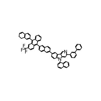 FC(F)(F)c1ccc2c(-c3ccc4cc(-c5ccc6c(c5)c5cnc(-c7cccc(-c8ccccc8)c7)cc5n6-c5cccc6ccccc56)ccc4c3)c3ccccc3c(-c3ccc4c(c3)CCC=C4)c2c1